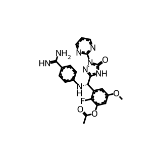 COc1cc(OC(C)=O)c(F)c([C@H](Nc2ccc(C(=N)N)cc2)c2nn(-c3ncccn3)c(=O)[nH]2)c1